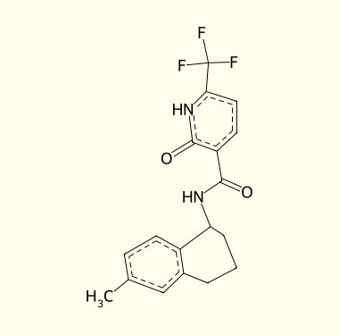 Cc1ccc2c(c1)CCCC2NC(=O)c1ccc(C(F)(F)F)[nH]c1=O